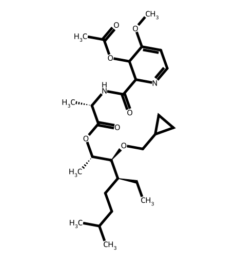 CC[C@@H](CCC(C)C)[C@H](OCC1CC1)[C@H](C)OC(=O)[C@H](C)NC(=O)C1N=CC=C(OC)C1OC(C)=O